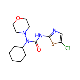 O=C(Nc1ncc(Cl)s1)N(C1CCCCC1)N1CCOCC1